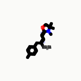 CCOC(=O)/C(=C/C=C1/OCC(C)(C)N1C)Cc1ccc(C)cc1